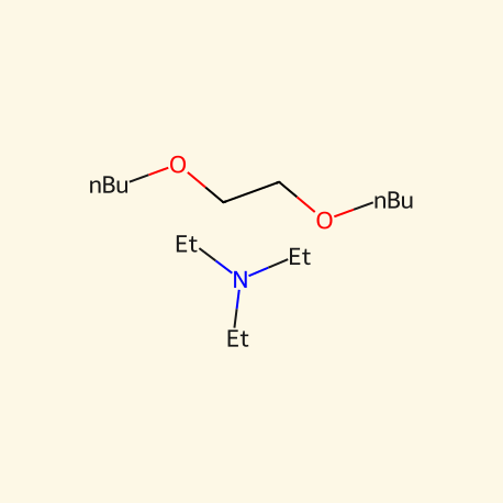 CCCCOCCOCCCC.CCN(CC)CC